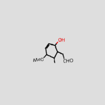 COC1C=CC(O)C(CC=O)C1C